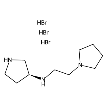 Br.Br.Br.C1CCN(CCN[C@H]2CCNC2)C1